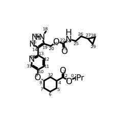 CC(C)OC(=O)C1CCC[C@H](Oc2ccc(-c3nnn(C)c3COC(=O)NCCC3CC3)nc2)C1